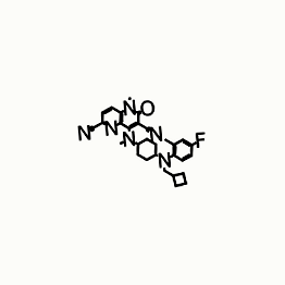 Cc1cc(F)ccc1N(CC1CCC1)[C@H]1CC[C@H](N(C)c2c(C#N)c(=O)n(C)c3ccc(C#N)nc23)CC1